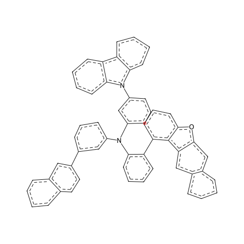 c1cc(-c2ccc3ccccc3c2)cc(N(c2cccc(-n3c4ccccc4c4ccccc43)c2)c2ccccc2-c2cccc3oc4cc5ccccc5cc4c23)c1